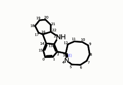 c1cc(/C2=N/CCCCCCCC2)c2c(c1)C1CCCCCC1N2